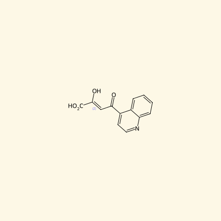 O=C(O)/C(O)=C/C(=O)c1ccnc2ccccc12